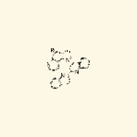 [Ru].c1ccc2nc(-c3ccc4ccccc4n3)ccc2c1.c1cnc2c(c1)ccc1ncccc12